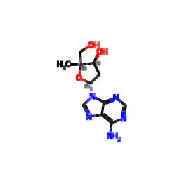 C[C@]1(CO)O[C@@H](n2cnc3c(N)ncnc32)C[C@@H]1O